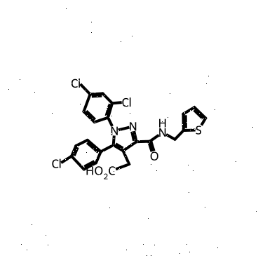 O=C(O)Cc1c(C(=O)NCc2cccs2)nn(-c2ccc(Cl)cc2Cl)c1-c1ccc(Cl)cc1